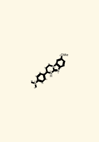 COc1ccc2nc3n(c2c1)CCC(c1ccc(N(C)C)cc1)N3